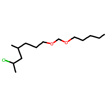 CCCCCOCOCCCC(C)CC(C)Cl